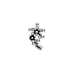 [N-]=[N+]=NCC(=O)Nc1cccc(O[C@H]2OC(CO)[C@H](O)C(O)C2O)c1